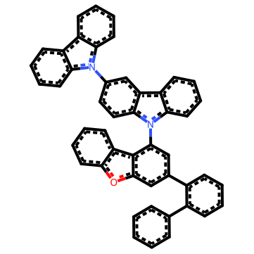 c1ccc(-c2ccccc2-c2cc(-n3c4ccccc4c4cc(-n5c6ccccc6c6ccccc65)ccc43)c3c(c2)oc2ccccc23)cc1